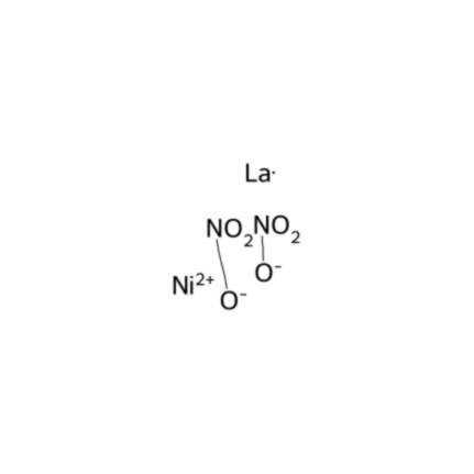 O=[N+]([O-])[O-].O=[N+]([O-])[O-].[La].[Ni+2]